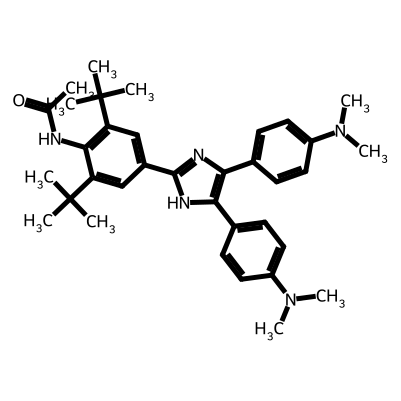 CC(=O)Nc1c(C(C)(C)C)cc(-c2nc(-c3ccc(N(C)C)cc3)c(-c3ccc(N(C)C)cc3)[nH]2)cc1C(C)(C)C